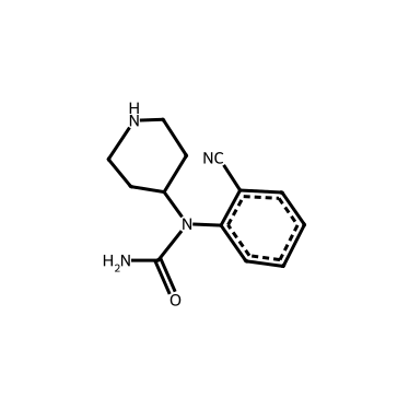 N#Cc1ccccc1N(C(N)=O)C1CCNCC1